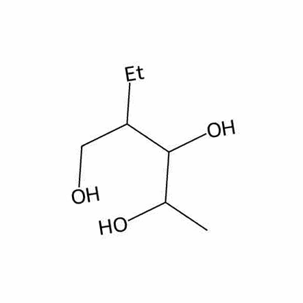 CCC(CO)C(O)C(C)O